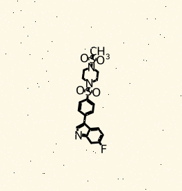 CS(=O)(=O)N1CCN(S(=O)(=O)c2ccc(C3=CN=C4CC(F)=CC=C34)cc2)CC1